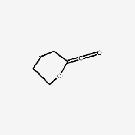 O=C=C1[CH]CC[CH]C1